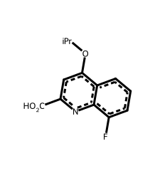 CC(C)Oc1cc(C(=O)O)nc2c(F)cccc12